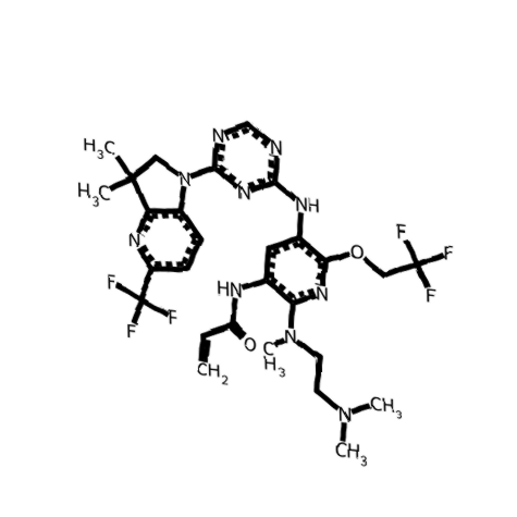 C=CC(=O)Nc1cc(Nc2ncnc(N3CC(C)(C)c4nc(C(F)(F)F)ccc43)n2)c(OCC(F)(F)F)nc1N(C)CCN(C)C